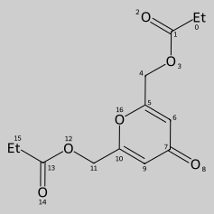 CCC(=O)OCc1cc(=O)cc(COC(=O)CC)o1